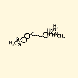 C=N/N=C(\NN)N1CCC(CCCOc2ccc3c(c2)CCN(S(C)(=O)=O)C3)CC1